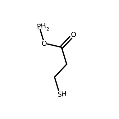 O=C(CCS)OP